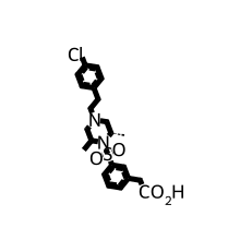 CC1CN(CCc2ccc(Cl)cc2)C[C@H](C)N1S(=O)(=O)c1cccc(CC(=O)O)c1